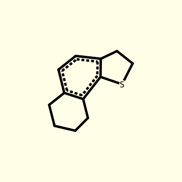 c1cc2c(c3c1CCCC3)SCC2